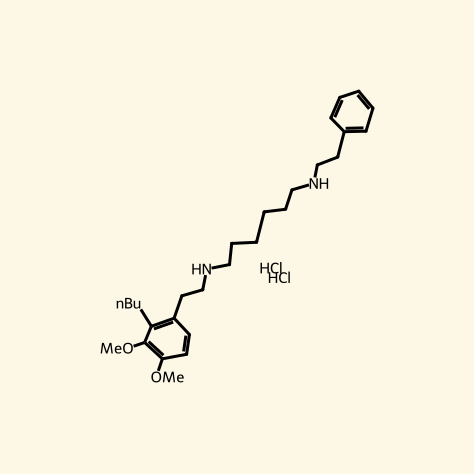 CCCCc1c(CCNCCCCCCNCCc2ccccc2)ccc(OC)c1OC.Cl.Cl